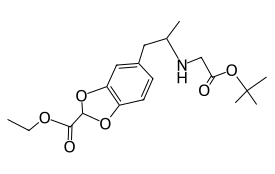 CCOC(=O)C1Oc2ccc(CC(C)NCC(=O)OC(C)(C)C)cc2O1